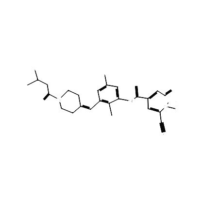 Cc1c(C=C2CCN(C(=O)CC(C)C)CC2)cc(Cl)cc1NC(=O)C(/C=C(/C#N)N(C)C)=C/C=O